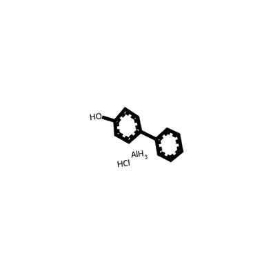 Cl.Oc1ccc(-c2ccccc2)cc1.[AlH3]